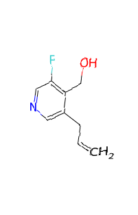 C=CCc1cncc(F)c1CO